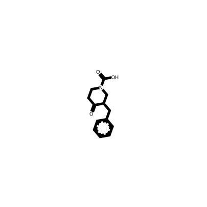 O=C1CCN(C(=O)O)CC1Cc1ccccc1